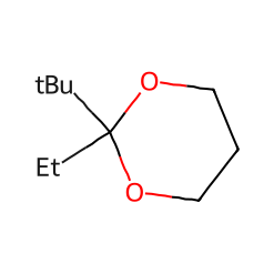 CCC1(C(C)(C)C)OCCCO1